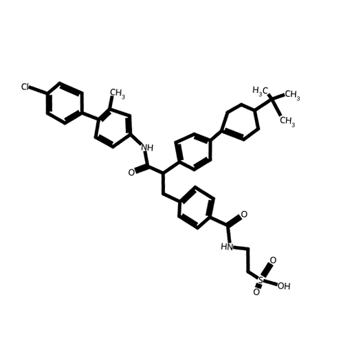 Cc1cc(NC(=O)C(Cc2ccc(C(=O)NCCS(=O)(=O)O)cc2)c2ccc(C3=CCC(C(C)(C)C)CC3)cc2)ccc1-c1ccc(Cl)cc1